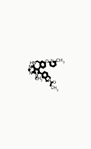 C=CC(=O)N1Cc2ccc(-c3c4c5c(ncnc5n3C)NCc3cc(Oc5cccc(C)n5)ccc3-4)cc2C1